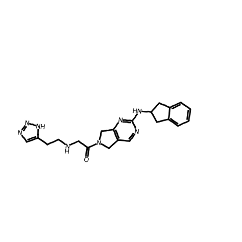 O=C(CNCCc1cnn[nH]1)N1Cc2cnc(NC3Cc4ccccc4C3)nc2C1